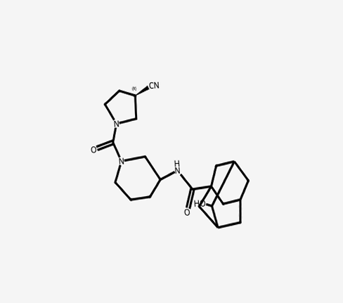 N#C[C@@H]1CCN(C(=O)N2CCCC(NC(=O)C34CC5CC(C3)C(O)C(C5)C4)C2)C1